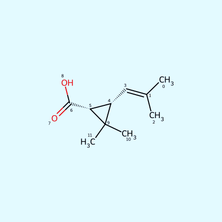 CC(C)=C[C@H]1[C@@H](C(=O)O)C1(C)C